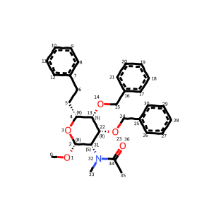 CO[C@@H]1O[C@H](CCc2ccccc2)[C@H](OCc2ccccc2)[C@H](OCc2ccccc2)[C@@H]1N(C)C(C)=O